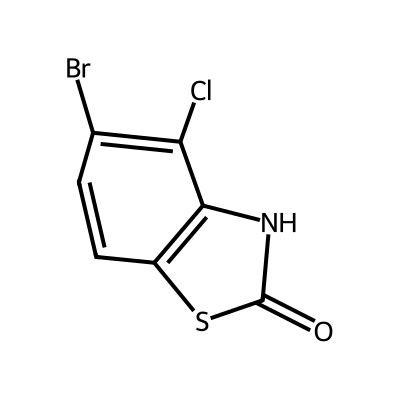 O=c1[nH]c2c(Cl)c(Br)ccc2s1